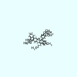 CCCCc1c(Cc2ccc(-c3ccccc3C3=NOC(O)N3)cc2)c(=O)n([C@H]2CC[C@H](OC(C)C(C)(C)O)CC2)c2nc(C)nn12